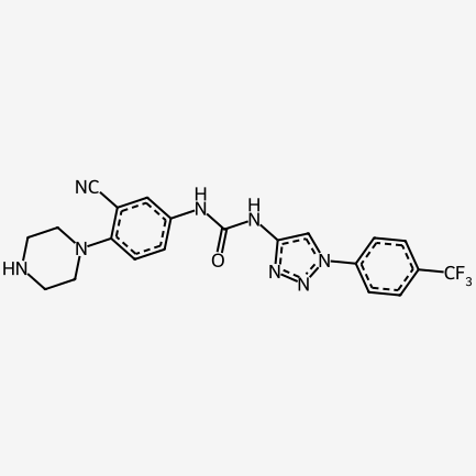 N#Cc1cc(NC(=O)Nc2cn(-c3ccc(C(F)(F)F)cc3)nn2)ccc1N1CCNCC1